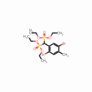 CCOP(=O)(OCC)C(c1cc(Br)c(C)cc1Br)P(=O)(OCC)OCC